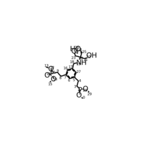 COP(CCc1cc(CCP(=O)(OC)OC)cc(CNC(CO)(CO)CO)c1)OC